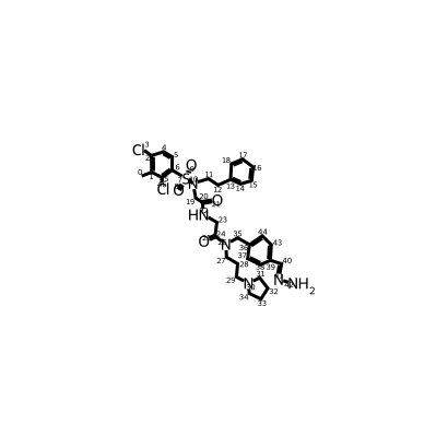 Cc1c(Cl)ccc(S(=O)(=O)N(CCc2ccccc2)CC(=O)NCC(=O)N(CCCN2CCCC2)Cc2ccc(C=NN)cc2)c1Cl